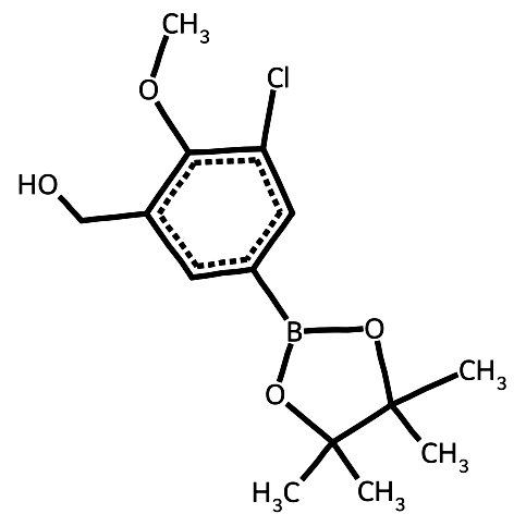 COc1c(Cl)cc(B2OC(C)(C)C(C)(C)O2)cc1CO